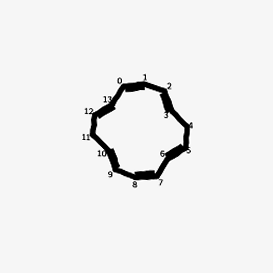 C1=C\C=C\C/C=C/C=C\C=C\C/C=C/1